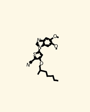 CCCCCC(C)COc1cc(-n2cnc3cc(OC)c(OC)cc32)sc1C#N